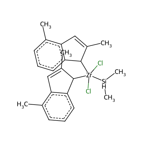 CC1=Cc2c(C)cccc2[CH]1[Zr]([Cl])([Cl])([CH]1C(C)=Cc2c(C)cccc21)[SiH](C)C